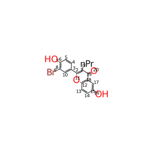 CCCc1c(-c2ccc(O)c(Br)c2)oc2ccc(O)cc2c1=O